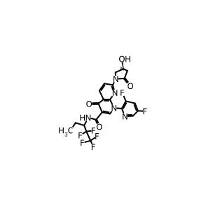 CCC(NC(=O)c1cn(-c2ncc(F)cc2F)c2nc(N3C[C@@H](O)CC3=O)ccc2c1=O)C(F)(F)C(F)(F)F